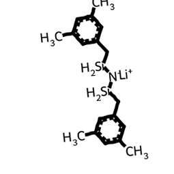 Cc1cc(C)cc(C[SiH2][N-][SiH2]Cc2cc(C)cc(C)c2)c1.[Li+]